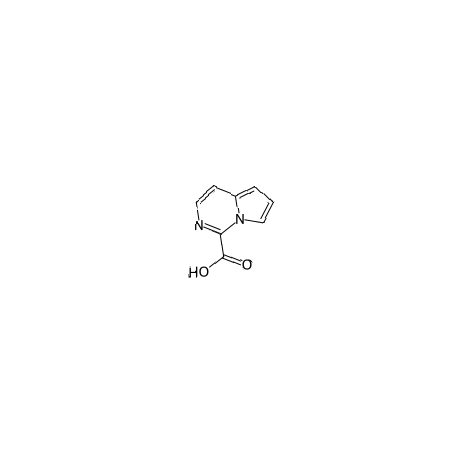 O=C(O)c1nccc2cccn12